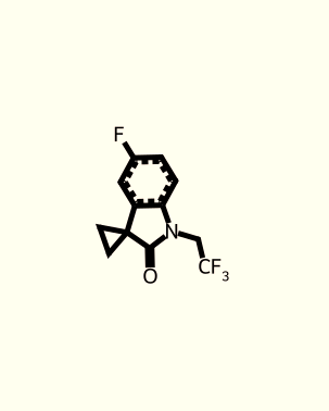 O=C1N(CC(F)(F)F)c2ccc(F)cc2C12CC2